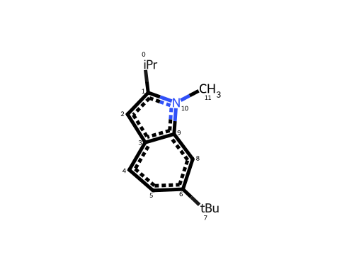 CC(C)c1cc2ccc(C(C)(C)C)cc2n1C